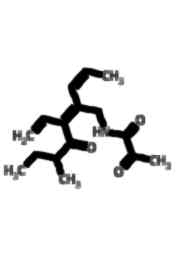 C=C/C(C(=O)C(C)CC)=C(\C=C/C)CNC(=O)C(C)=O